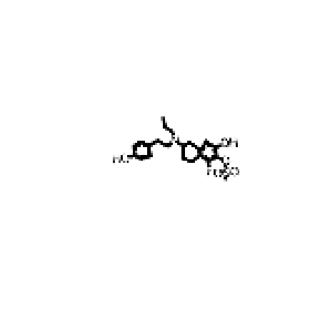 CCCN(CCc1ccc(O)cc1)C1CCc2c(cc(O)c(OS(C)(=O)=O)c2F)C1